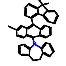 Cc1ccc2c(N3c4ccccc4CCc4ccccc43)c3ccccc3c(-c3cccc4c3-c3ccccc3C4(C)C)c2c1